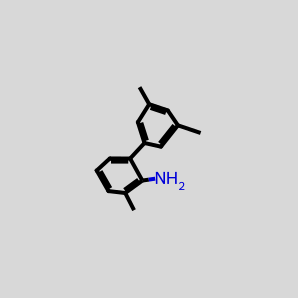 Cc1cc(C)cc(-c2cccc(C)c2N)c1